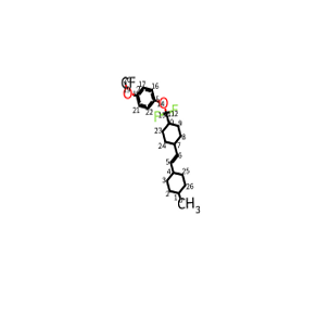 CC1CCC(/C=C/C2CCC(C(F)(F)Oc3ccc(OC(F)(F)F)cc3)CC2)CC1